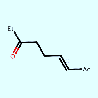 CCC(=O)CC/C=C/C(C)=O